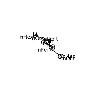 CCCCCCCCC(CCCCCC)COC(=O)CCCCCCCCC(CCCCC)OC(=O)OCCN(CCOC(=O)OC(CCCCC)CCCCCCCCC(=O)OCC(CCCCCC)CCCCCCCC)CCN(CC)CC